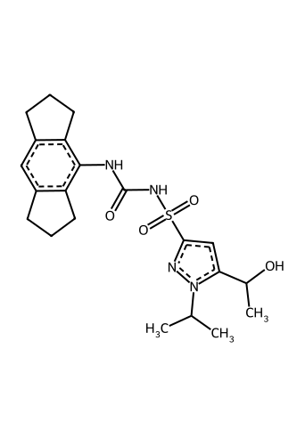 CC(O)c1cc(S(=O)(=O)NC(=O)Nc2c3c(cc4c2CCC4)CCC3)nn1C(C)C